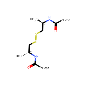 CCCCCCCC(=O)N[C@@H](CSSC[C@H](NC(=O)CCCCCCC)C(=O)O)C(=O)O